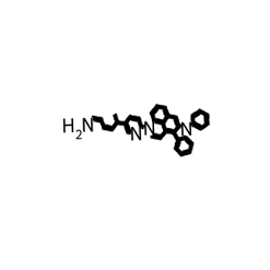 CC(/C=C\C=C/N)c1ccc(N2C=Cc3c4c2cccc4cc2c3c3ccccc3n2-c2ccccc2)nc1